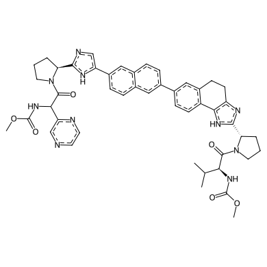 COC(=O)NC(C(=O)N1CCC[C@H]1c1ncc(-c2ccc3cc(-c4ccc5c(c4)CCc4nc([C@@H]6CCCN6C(=O)[C@@H](NC(=O)OC)C(C)C)[nH]c4-5)ccc3c2)[nH]1)c1cnccn1